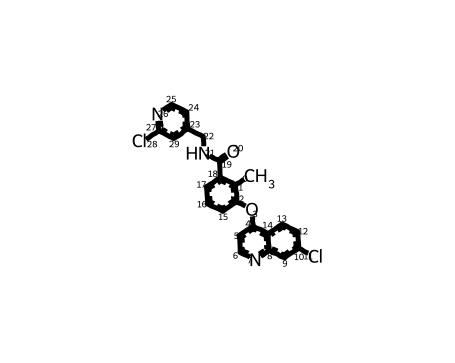 Cc1c(Oc2ccnc3cc(Cl)ccc23)cccc1C(=O)NCc1ccnc(Cl)c1